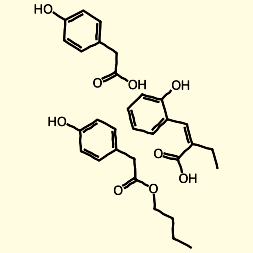 CCC(=Cc1ccccc1O)C(=O)O.CCCCOC(=O)Cc1ccc(O)cc1.O=C(O)Cc1ccc(O)cc1